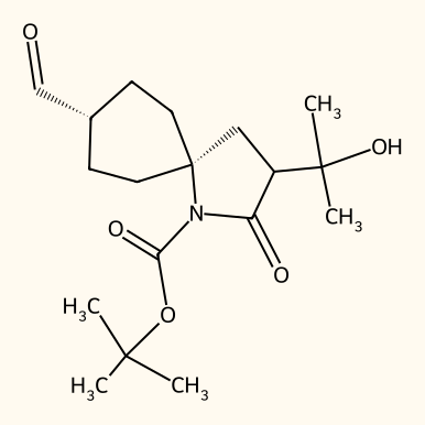 CC(C)(C)OC(=O)N1C(=O)C(C(C)(C)O)C[C@]12CC[C@@H](C=O)CC2